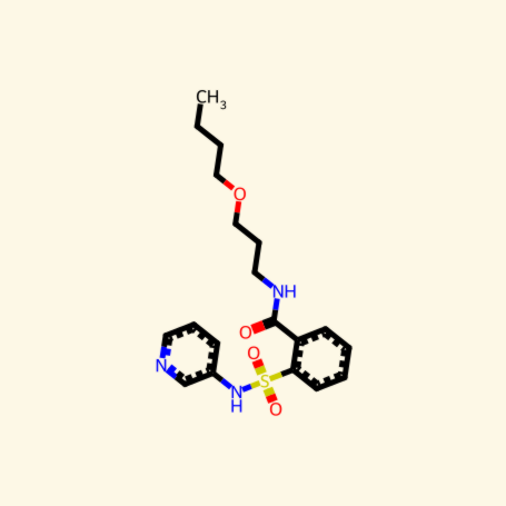 CCCCOCCCNC(=O)c1ccccc1S(=O)(=O)Nc1cccnc1